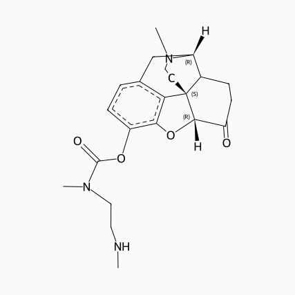 CNCCN(C)C(=O)Oc1ccc2c3c1O[C@H]1C(=O)CCC4[C@@H](C2)N(C)CC[C@@]341